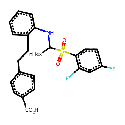 CCCCCCC(Nc1ccccc1CCc1ccc(C(=O)O)cc1)S(=O)(=O)c1ccc(F)cc1F